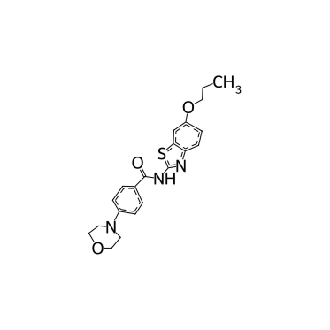 CCCOc1ccc2nc(NC(=O)c3ccc(N4CCOCC4)cc3)sc2c1